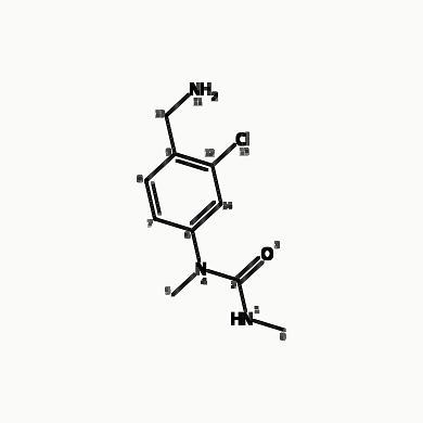 CNC(=O)N(C)c1ccc(CN)c(Cl)c1